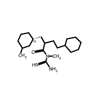 CC1CCC[C@H](CC(CCC2CCCCC2)C(=O)N(C)C(=N)N)C1